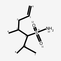 C=CCC(C)C(C(C)C)S(N)(=O)=O